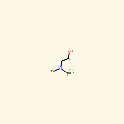 CCCCN(CCO)CCCC.Cl